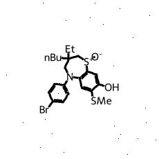 CCCCC1(CC)CN(c2ccc(Br)cc2)c2cc(SC)c(O)cc2[S+]([O-])C1